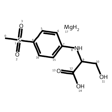 CS(=O)(=O)c1ccc(NC(CO)C(=O)O)cc1.[MgH2]